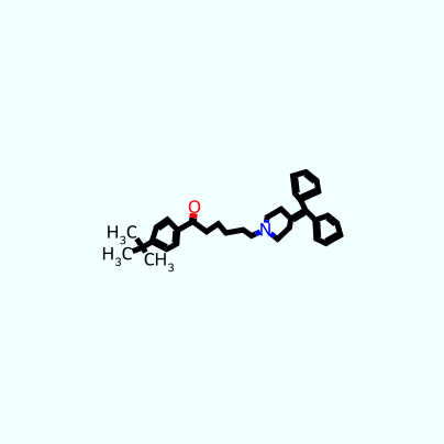 CC(C)(C)c1ccc(C(=O)CCCCCN2CCC(=C(c3ccccc3)c3ccccc3)CC2)cc1